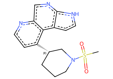 CS(=O)(=O)N1CCC[C@H](c2ccnc3cnc4[nH]ccc4c23)C1